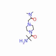 CN(C)C(=O)CN1CCN(C(=O)C(C)(C)N)CC1